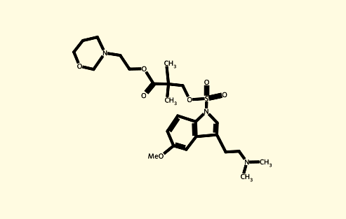 COc1ccc2c(c1)c(CCN(C)C)cn2S(=O)(=O)OCC(C)(C)C(=O)OCCN1CCCOC1